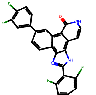 O=c1[nH]ccc2c3[nH]c(-c4c(F)cccc4F)nc3c3ccc(-c4ccc(F)c(F)c4)cc3c12